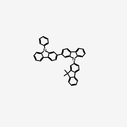 CC1(C)c2ccccc2-c2ccc(-n3c4ccccc4c4ccc(-c5ccc6c7ccccc7n(-c7ccccc7)c6c5)cc43)cc21